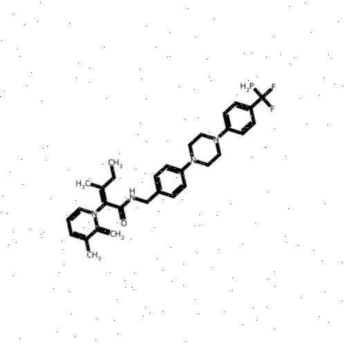 C=C1C(C)=CC=CN1/C(C(=O)NCc1ccc(N2CCN(c3ccc(C(F)(F)P)cc3)CC2)cc1)=C(\C)CC